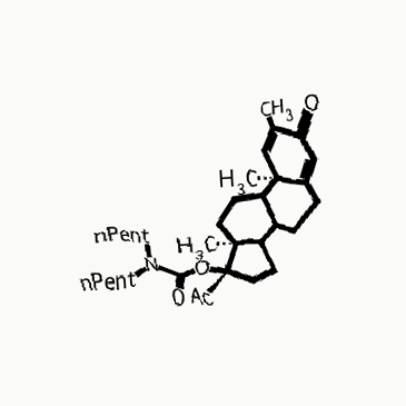 CCCCCN(CCCCC)C(=O)O[C@@]1(C(C)=O)CCC2C3CCC4=CC(=O)C(C)=C[C@]4(C)C3CC[C@@]21C